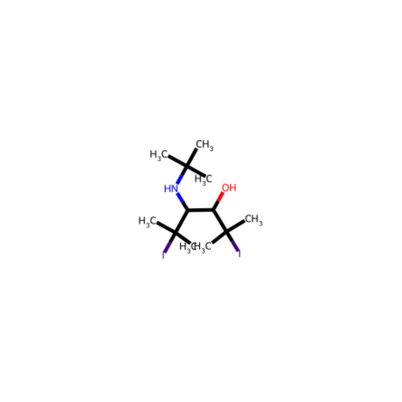 CC(C)(C)NC(C(O)C(C)(C)I)C(C)(C)I